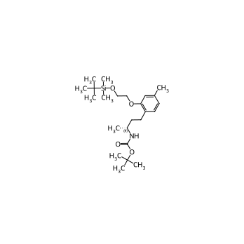 Cc1ccc(CC[C@@H](C)NC(=O)OC(C)(C)C)c(OCCO[Si](C)(C)C(C)(C)C)c1